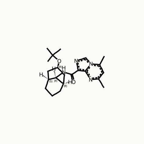 Cc1cc(C)n2cnc(C(=O)N[C@H]3[C@@H]4CCC[C@H]3C[C@@H](OC(C)(C)C)C4)c2n1